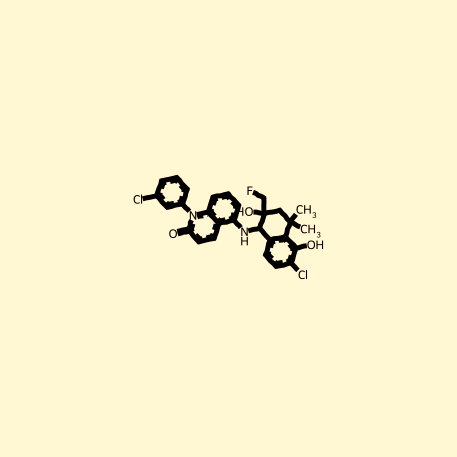 CC1(C)CC(O)(CF)C(Nc2cccc3c2ccc(=O)n3-c2cccc(Cl)c2)c2ccc(Cl)c(O)c21